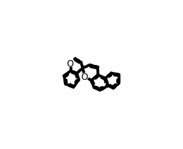 C1=CC2(C=Cc3c(ccc4ccccc34)O2)c2ccccc2O1